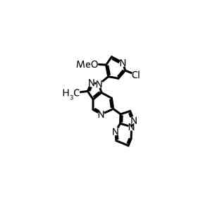 COc1cnc(Cl)cc1-n1nc(C)c2cnc(-c3cnn4cccnc34)cc21